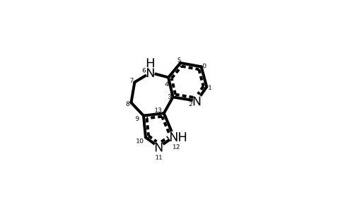 c1cnc2c(c1)NCCc1cn[nH]c1-2